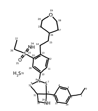 CCc1ccc(C2(SN(C)c3ccc(CCC4CCOCC4)c(S(=N)(=O)CC)c3)NCC2C)cc1.S